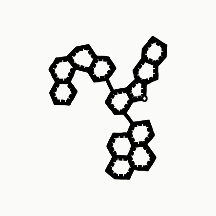 c1ccc2cc3c(cc2c1)oc1c(-c2ccc4ccc5cccc6ccc2c4c56)ccc(-c2ccc4ccc5ccc6ccccc6c5c4c2)c13